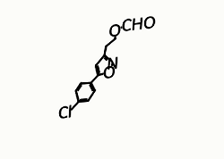 O=COCCc1cc(-c2ccc(Cl)cc2)on1